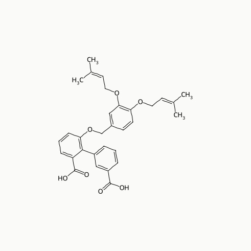 CC(C)=CCOc1ccc(COc2cccc(C(=O)O)c2-c2cccc(C(=O)O)c2)cc1OCC=C(C)C